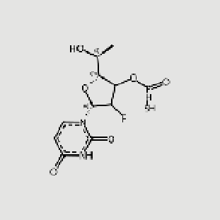 C[C@H](O)[C@H]1O[C@@H](n2ccc(=O)[nH]c2=O)C(F)C1O[PH](=O)S